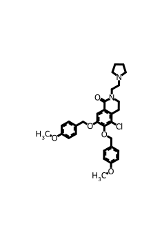 COc1ccc(COc2cc3c(c(Cl)c2OCc2ccc(OC)cc2)CCN(CCN2CCCC2)C3=O)cc1